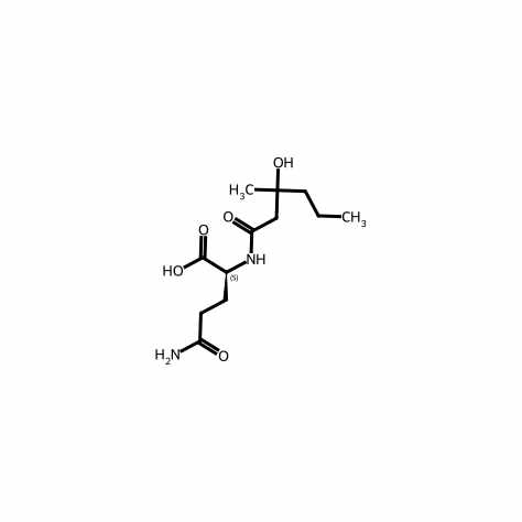 CCCC(C)(O)CC(=O)N[C@@H](CCC(N)=O)C(=O)O